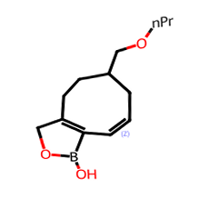 CCCOCC1C/C=C\C2=C(CC1)COB2O